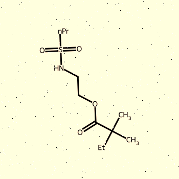 CCCS(=O)(=O)NCCOC(=O)C(C)(C)CC